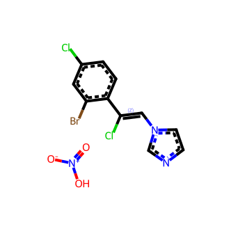 Cl/C(=C\n1ccnc1)c1ccc(Cl)cc1Br.O=[N+]([O-])O